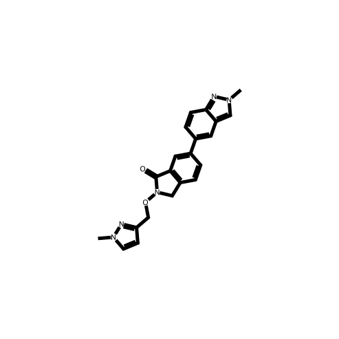 Cn1ccc(CON2Cc3ccc(-c4ccc5nn(C)cc5c4)cc3C2=O)n1